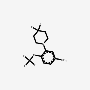 Nc1ccc(OC(F)(F)F)c(N2CCC(F)(F)CC2)c1